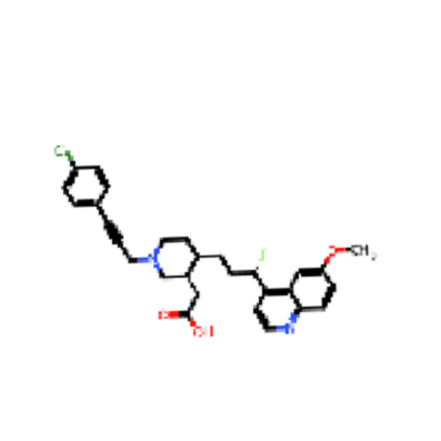 COc1ccc2nccc([C@@H](F)CC[C@@H]3CCN(CC#Cc4ccc(Cl)cc4)C[C@@H]3CC(=O)O)c2c1